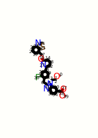 COCCn1c(Cc2ccc(-c3cccc(OCc4cccc5ncsc45)n3)cc2F)nc2ccc(C(=O)OC)cc21